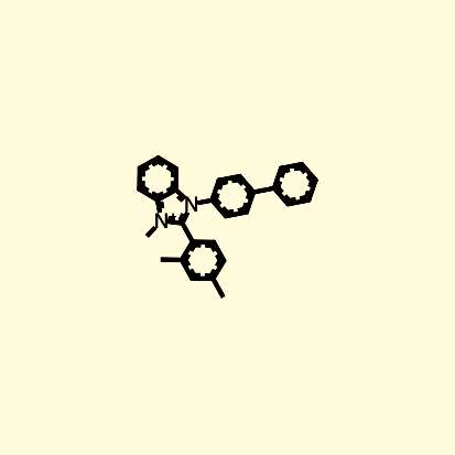 Cc1ccc(-c2n(-c3ccc(-c4ccccc4)cc3)c3ccccc3[n+]2C)c(C)c1